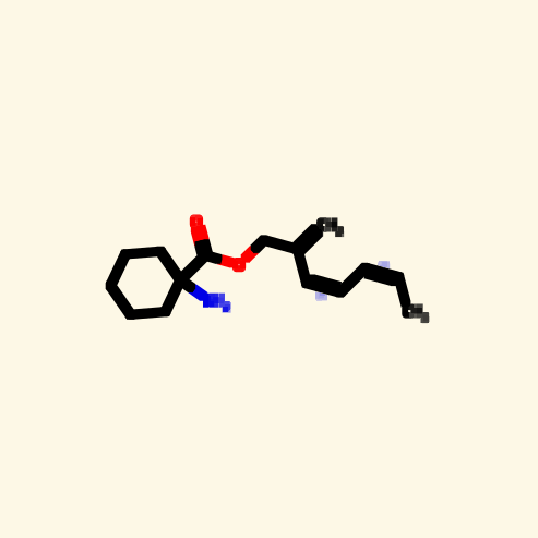 C=C(/C=C\C=C/C)COC(=O)C1(N)CCCCC1